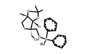 CC1(C)O[C@H]2CS[C@](CO)(CO[Si](c3ccccc3)(c3ccccc3)C(C)(C)C)[C@H]2O1